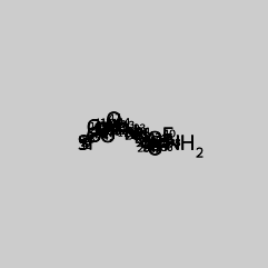 C[Si](C)(C)CCOCN1C(=O)CC[C@@H](N2Cc3cc(N4CC5C4CCN5c4cccc(S(=O)(=O)c5ccc(N)c(F)c5)c4)ccc3C2=O)C1=O